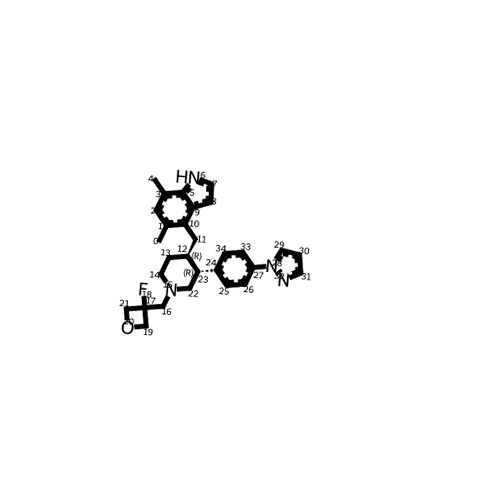 Cc1cc(C)c2[nH]ccc2c1C[C@@H]1CCN(CC2(F)COC2)C[C@H]1c1ccc(-n2cccn2)cc1